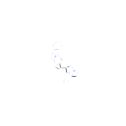 Cc1cnc2ncc(-c3ccn4nc(NC5CCOCC5)ncc34)cn12